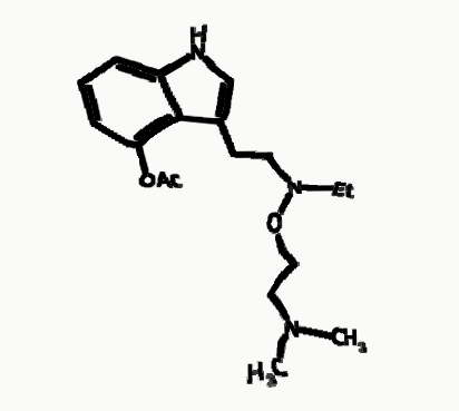 CCN(CCc1c[nH]c2cccc(OC(C)=O)c12)OCCN(C)C